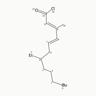 CCC(C)CCCC(CC)CC=CC(C)=CC(=O)Cl